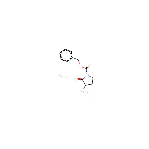 Cl.NC1CCN(C(=O)OCc2ccccc2)C1=O